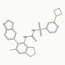 Cc1cc2c(c(NC(=O)NS(=O)(=O)c3ccnc(C4CCC4)c3)c1-c1ccn3nccc3c1)CCC2